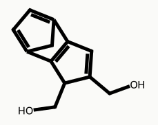 OCC1=CC2=C(C3=CC=C2C3)C1CO